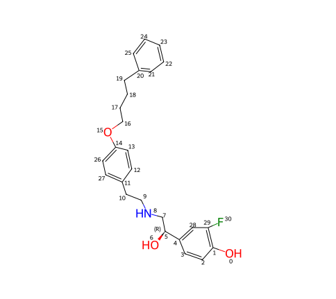 Oc1ccc([C@@H](O)CNCCc2ccc(OCCCCc3ccccc3)cc2)cc1F